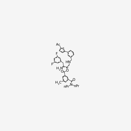 CCCN(CCC)C(=O)c1cc(C)cc(C(=O)O[C@H](CNCc2cccc(-c3ccc(C(C)=O)s3)c2)[C@@H](N)Cc2cc(F)cc(F)c2)c1